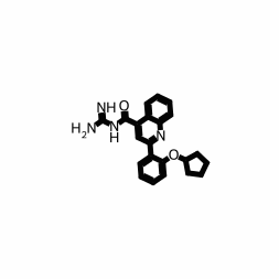 N=C(N)NC(=O)c1cc(-c2ccccc2OC2CCCC2)nc2ccccc12